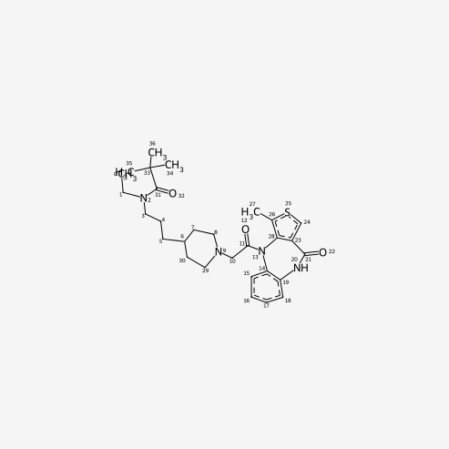 CCN(CCCC1CCN(CC(=O)N2c3ccccc3NC(=O)c3csc(C)c32)CC1)C(=O)C(C)(C)C